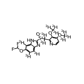 [2H]c1c(OC(F)F)c([2H])c2[nH]c([S+]([O-])C([2H])([2H])c3nccc(OC([2H])([2H])[2H])c3OC([2H])([2H])[2H])nc2c1[2H]